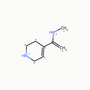 C=C(NC)C1=CCNCC1